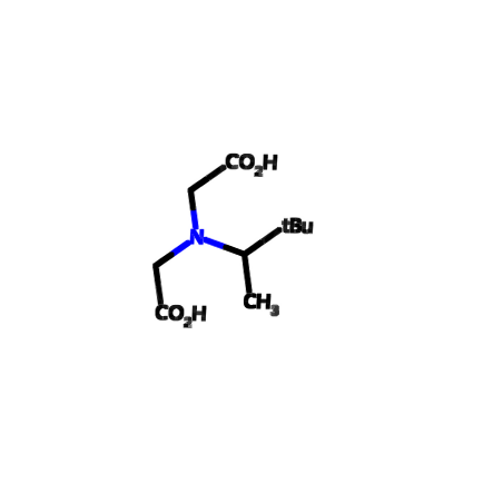 CC(N(CC(=O)O)CC(=O)O)C(C)(C)C